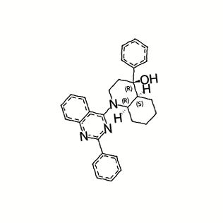 O[C@]1(c2ccccc2)CCN(c2nc(-c3ccccc3)nc3ccccc23)[C@@H]2CCCC[C@@H]21